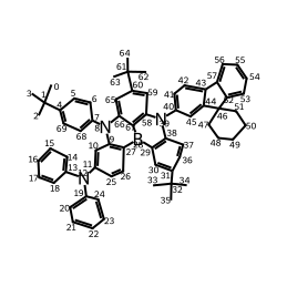 CC(C)(C)c1ccc(N2c3cc(N(c4ccccc4)c4ccccc4)ccc3B3c4cc(C(C)(C)C)ccc4N(c4ccc5c(c4)C4(CCCCC4)c4ccccc4-5)c4cc(C(C)(C)C)cc2c43)cc1